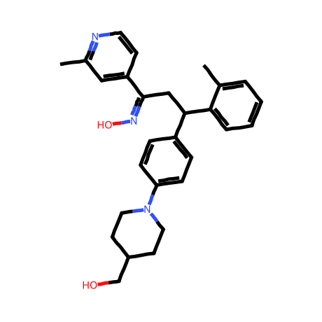 Cc1cc(C(CC(c2ccc(N3CCC(CO)CC3)cc2)c2ccccc2C)=NO)ccn1